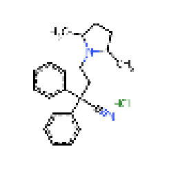 CC1CCC(C)N1CCC(C#N)(c1ccccc1)c1ccccc1.Cl